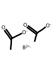 CC(=O)[O-].CC(=O)[O-].[B+2]